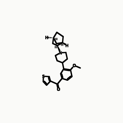 COc1ccc(C(=O)c2ccsc2)cc1C1CCN([C@H]2C[C@H]3CC[C@H]2C3)CC1